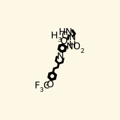 CC1(COc2ccc(N3CCC(CCc4ccc(OC(F)(F)F)cc4)CC3)cc2[N+](=O)[O-])NC=CN1